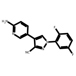 N#Cc1nn(-c2cc(F)ccc2F)cc1-c1ccc(N)nc1